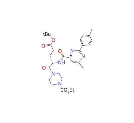 CCOC(=O)N1CCN(C(=O)[C@H](CCC(=O)OC(C)(C)C)NC(=O)c2cc(C)nc(-c3ccc(C)cc3)n2)CC1